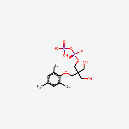 Cc1cc(C(C)(C)C)c(OCC(CO)(CO)COP(=O)(O)OP(=O)(O)O)c(C(C)(C)C)c1